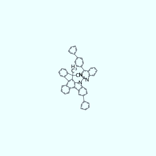 CC1(C)c2ccccc2-c2c1c1c(c3ccccc23)c2cc(-c3ccccc3)ccc2n1-c1nc(-c2ccc(-c3ccccc3)cc2)c2ccccc2n1